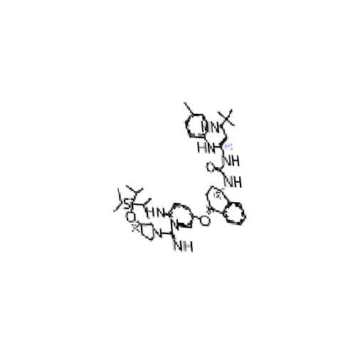 Cc1ccc(N/C(=C\C(=N)C(C)(C)C)NC(=O)N[C@H]2CC[C@@H](Oc3ccc(=N)n(C(=N)N4CC[C@@H](O[Si](C(C)C)(C(C)C)C(C)C)C4)c3)c3ccccc32)cc1